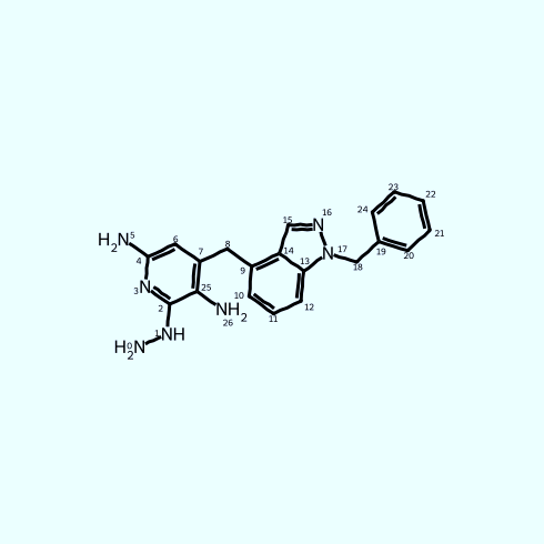 NNc1nc(N)cc(Cc2cccc3c2cnn3Cc2ccccc2)c1N